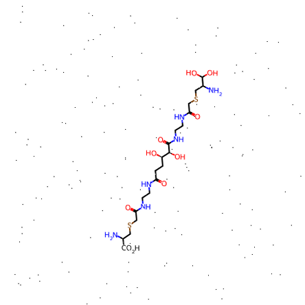 NC(CSCC(=O)NCCNC(=O)CC[C@@H](O)[C@H](O)C(=O)NCCNC(=O)CSCC(N)C(O)O)C(=O)O